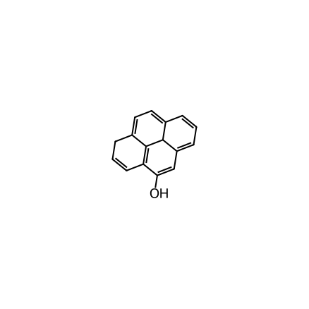 OC1=CC2=CC=CC3=CC=C4CC=CC1=C4C32